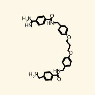 N=C(N)c1ccc(C(=O)NCc2ccc(OCCCOc3ccc(CNC(=O)c4ccc(CN)cc4)cc3)cc2)cc1